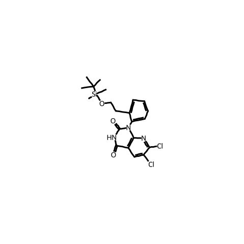 CC(C)(C)[Si](C)(C)OCCc1ccccc1-n1c(=O)[nH]c(=O)c2cc(Cl)c(Cl)nc21